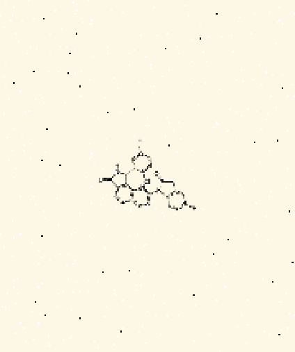 O=C1N[C@H](c2cc(F)ccc2Cl)c2c1ccc1cnc(N3C(=O)Cc4cc(F)ccc43)nc21